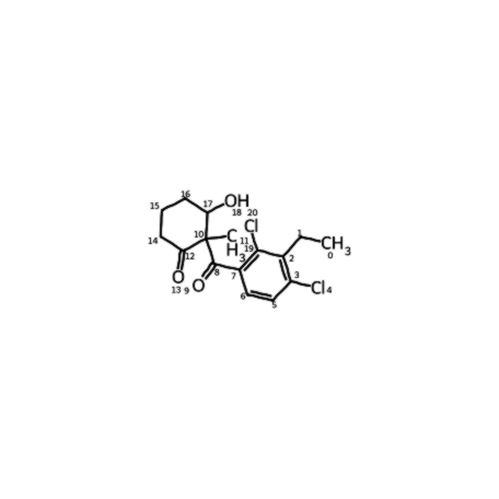 CCc1c(Cl)ccc(C(=O)C2(C)C(=O)CCCC2O)c1Cl